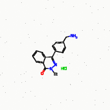 CCn1nc(-c2ccc(CN)cc2)c2ccccc2c1=O.Cl